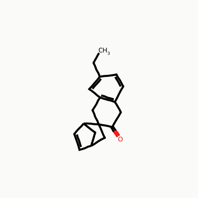 CCc1ccc2c(c1)CC1(CC3C=CC1C3)C(=O)C2